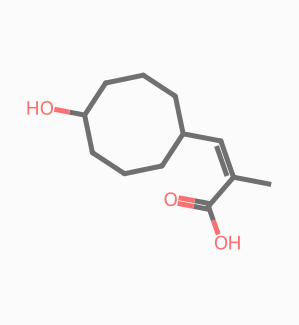 CC(=CC1CCCC(O)CCC1)C(=O)O